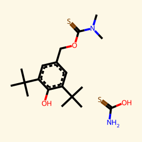 CN(C)C(=S)OCc1cc(C(C)(C)C)c(O)c(C(C)(C)C)c1.NC(O)=S